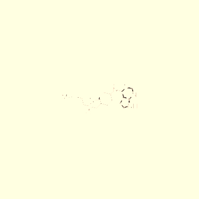 COCCS(=N)(=O)CC1CCC(N(C)c2ncnc3[nH]ccc23)CC1